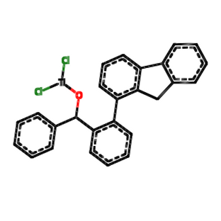 [Cl][Ti]([Cl])[O]C(c1ccccc1)c1ccccc1-c1cccc2c1Cc1ccccc1-2